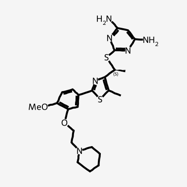 COc1ccc(-c2nc([C@H](C)Sc3nc(N)cc(N)n3)c(C)s2)cc1OCCN1CCCCC1